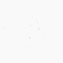 COCC[AsH]c1cc(C(=O)O)nc2c(-c3ccc(CO)cc3)nc(N3CCOCC3)nc12